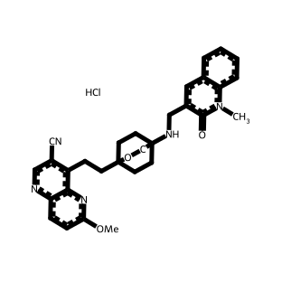 COc1ccc2ncc(C#N)c(CCC34CCC(NCc5cc6ccccc6n(C)c5=O)(CC3)CO4)c2n1.Cl